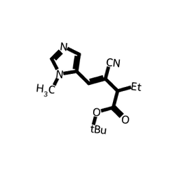 CCC(C(=O)OC(C)(C)C)C(C#N)=Cc1cncn1C